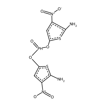 Nc1sc(O[PH](=O)Oc2cc([N+](=O)[O-])c(N)s2)cc1[N+](=O)[O-]